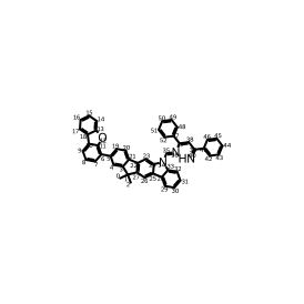 CC1(C)c2cc(-c3cccc4c3oc3ccccc34)ccc2-c2cc3c(cc21)c1ccccc1n3/C=N/C(=C\C(=N)c1ccccc1)c1ccccc1